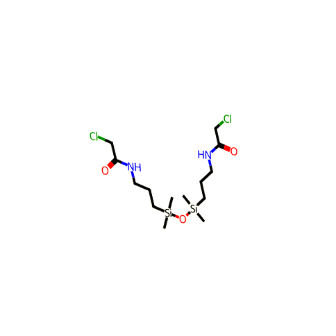 C[Si](C)(CCCNC(=O)CCl)O[Si](C)(C)CCCNC(=O)CCl